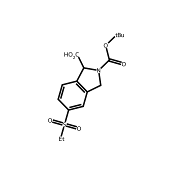 CCS(=O)(=O)c1ccc2c(c1)CN(C(=O)OC(C)(C)C)C2C(=O)O